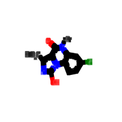 CCCn1c(=O)c2c(C(=O)OCC)nc(O)n2c2ccc(Cl)cc21